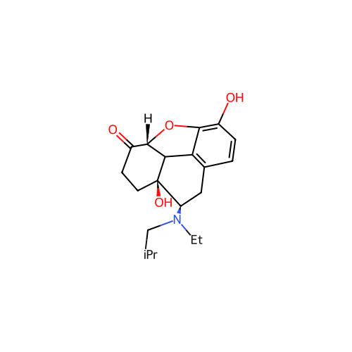 CCN(CC(C)C)[C@@H]1Cc2ccc(O)c3c2C2[C@@H](O3)C(=O)CC[C@]21O